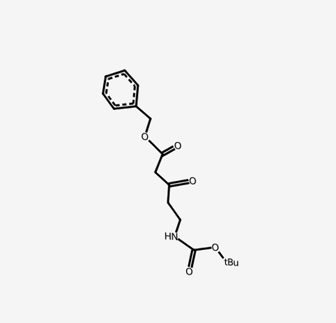 CC(C)(C)OC(=O)NCCC(=O)CC(=O)OCc1ccccc1